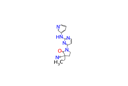 CCC1(C#N)CCN(c2ccnc(Nc3cccnc3)n2)C1=O